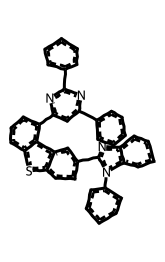 c1ccc(-c2cc(-c3cccc4sc5ccc(-c6nc7ccccc7n6-c6ccccc6)cc5c34)nc(-c3ccccc3)n2)cc1